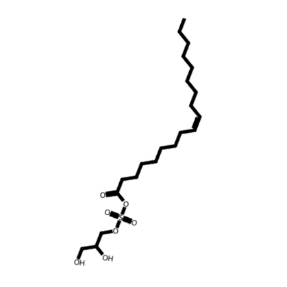 CCCCCCCC/C=C\CCCCCCCC(=O)OS(=O)(=O)OCC(O)CO